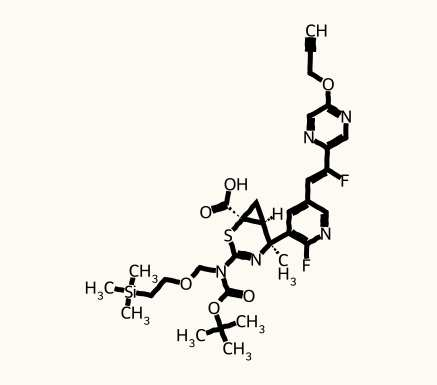 C#CCOc1cnc(/C(F)=C/c2cnc(F)c([C@@]3(C)N=C(N(COCC[Si](C)(C)C)C(=O)OC(C)(C)C)S[C@@]4(C(=O)O)C[C@H]43)c2)cn1